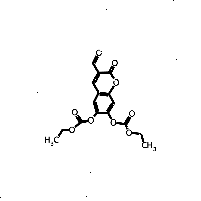 CCOC(=O)Oc1cc2cc(C=O)c(=O)oc2cc1OC(=O)OCC